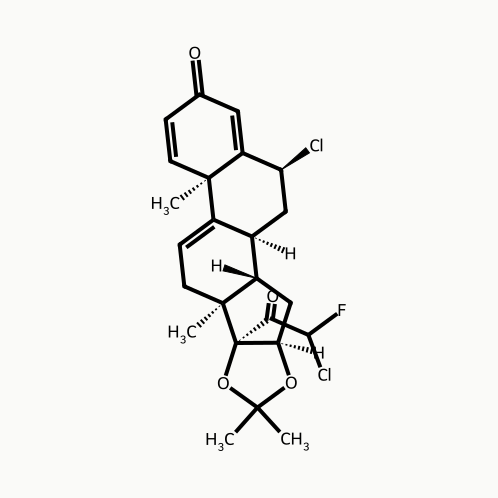 CC1(C)O[C@@H]2C[C@H]3[C@@H]4C[C@H](Cl)C5=CC(=O)C=C[C@]5(C)C4=CC[C@]3(C)[C@]2(C(=O)C(F)Cl)O1